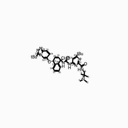 CN(C)C(C)(C)CNC(=O)c1nc(NC(=O)N[C@@]2(C=O)C=C[C@@H](Oc3ccc4nnc(C(C)(C)C)n4c3)c3ccccc32)cc(C(C)(C)C)n1